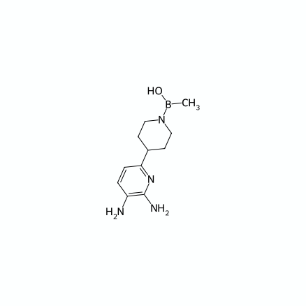 CB(O)N1CCC(c2ccc(N)c(N)n2)CC1